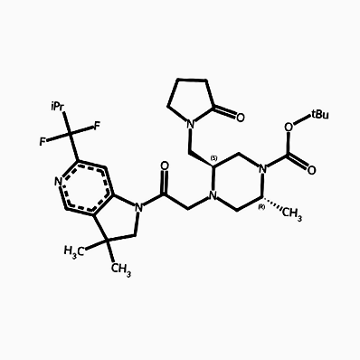 CC(C)C(F)(F)c1cc2c(cn1)C(C)(C)CN2C(=O)CN1C[C@@H](C)N(C(=O)OC(C)(C)C)C[C@@H]1CN1CCCC1=O